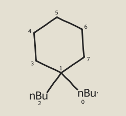 CCC[CH]C1(CCCC)CCCCC1